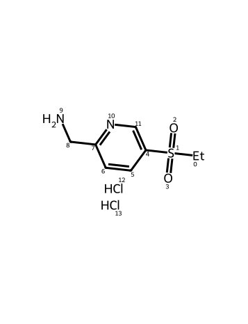 CCS(=O)(=O)c1ccc(CN)nc1.Cl.Cl